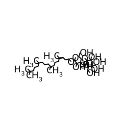 CC(=CCCOC1OC(CO)C(OC2OC(CO)C(O)C(O)C2O)C(O)C1O)CCCC(C)CCCC(C)CCCC(C)C